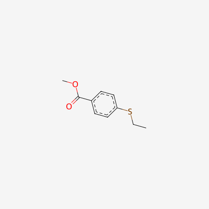 CCSc1ccc(C(=O)OC)cc1